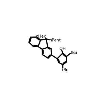 CCCCCCC1(CCCCC)c2ccccc2-c2ccc(-c3cc(C(C)(C)C)cc(C(C)(C)C)c3O)cc21